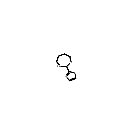 c1coc(C2NCCCCO2)n1